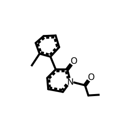 CCC(=O)n1cccc(-c2ccccc2C)c1=O